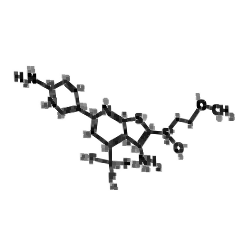 COCC[S+]([O-])c1sc2nc(-c3ccc(N)nc3)cc(C(F)(F)F)c2c1N